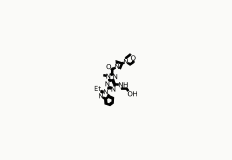 CCc1nc2ccccc2n1-c1nc(NCCO)c2nc(C(=O)N3CC(N4CCOCC4)C3)n(C)c2n1